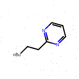 CCCCCCc1ncccn1